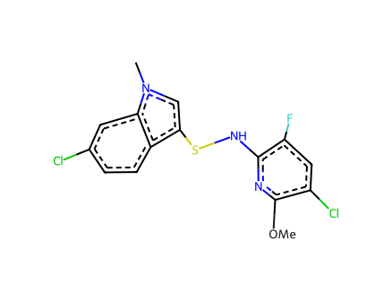 COc1nc(NSc2cn(C)c3cc(Cl)ccc23)c(F)cc1Cl